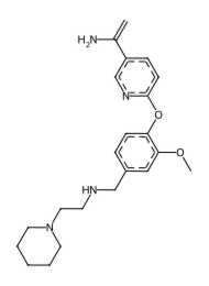 C=C(N)c1ccc(Oc2ccc(CNCCN3CCCCC3)cc2OC)nc1